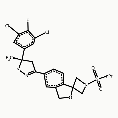 CCCS(=O)(=O)N1CC2(C1)OCc1cc(C3=NS[C@@](c4cc(Cl)c(F)c(Cl)c4)(C(F)(F)F)C3)ccc12